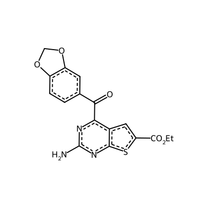 CCOC(=O)c1cc2c(C(=O)c3ccc4c(c3)OCO4)nc(N)nc2s1